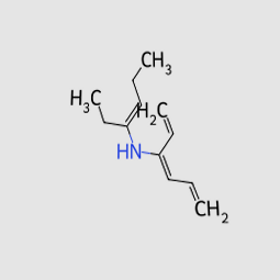 C=C/C=C(\C=C)NC(=CCC)CC